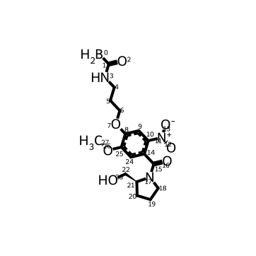 BC(=O)NCCCOc1cc([N+](=O)[O-])c(C(=O)N2CCC[C@H]2CO)cc1OC